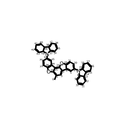 Cc1cc2c3cc(-n4c5ccccc5c5ccccc54)ccc3oc2c2c1oc1ccc(N3c4ccccc4C4C=CC=CC43)cc12